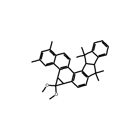 COC1(OC)C2c3ccc4c(c3-c3ccc5c(C)cc(C)cc5c3C21)C1C(c2ccccc2C1(C)C)C4(C)C